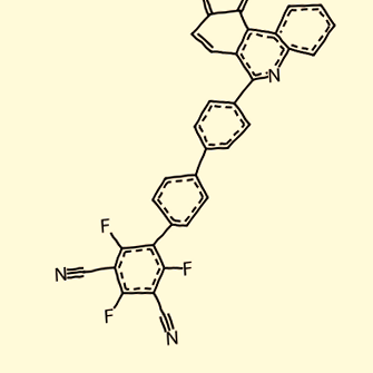 N#Cc1c(F)c(C#N)c(F)c(-c2ccc(-c3ccc(-c4nc5ccccc5c5c4C=CC(=N)C5=N)cc3)cc2)c1F